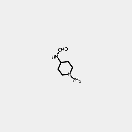 O=CNC1CCN(P)CC1